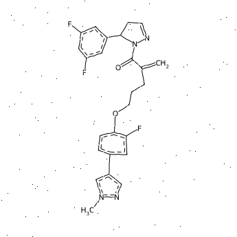 C=C(CCCOc1ccc(-c2cnn(C)c2)cc1F)C(=O)N1N=CCC1c1cc(F)cc(F)c1